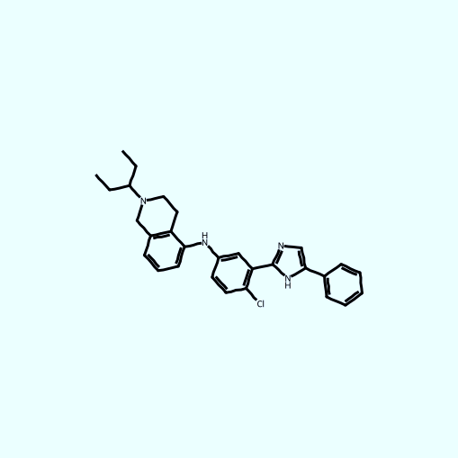 CCC(CC)N1CCc2c(cccc2Nc2ccc(Cl)c(-c3ncc(-c4ccccc4)[nH]3)c2)C1